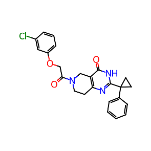 O=C(COc1cccc(Cl)c1)N1CCc2nc(C3(c4ccccc4)CC3)[nH]c(=O)c2C1